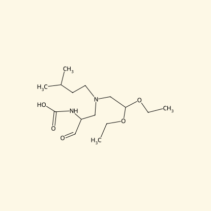 CCOC(CN(CCC(C)C)CC(C=O)NC(=O)O)OCC